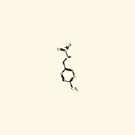 Cc1cnc(CN[SH](=O)=O)cn1